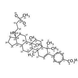 CC1(C)C(c2ccc(C(=O)O)cc2)=CCC2(C)C1CCC1(C)C2CCC2C3CCC[C@]3(NCCS(C)(=O)=O)CC[C@]21C